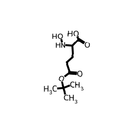 CC(C)(C)OC(=O)CCC(NO)C(=O)O